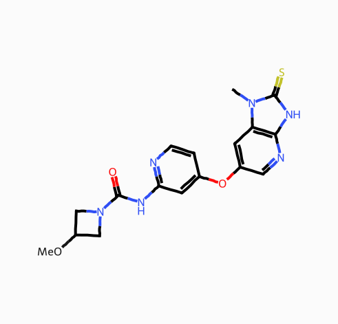 COC1CN(C(=O)Nc2cc(Oc3cnc4[nH]c(=S)n(C)c4c3)ccn2)C1